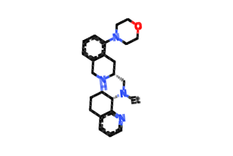 CCN(C[C@H]1Cc2c(cccc2N2CCOCC2)CN1)[C@H]1CCCc2cccnc21